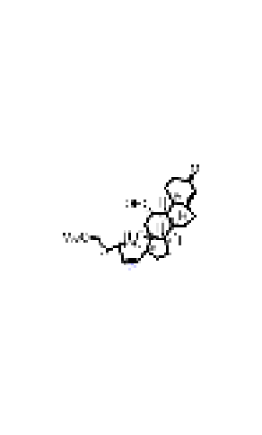 COCOC/C=C\[C@]1(O)CC[C@H]2[C@@H]3CCC4=CC(=O)CC[C@@H]4[C@H]3[C@@H](C=O)C[C@@]21C